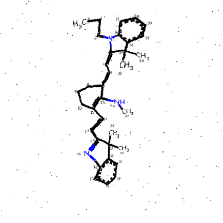 CCCN1/C(=C/C=C2\CCCC(/C=C/C3=Nc4ccccc4C3(C)C)=C2NC)C(C)(C)c2ccccc21